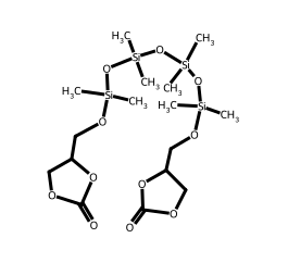 C[Si](C)(OCC1COC(=O)O1)O[Si](C)(C)O[Si](C)(C)O[Si](C)(C)OCC1COC(=O)O1